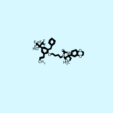 CC=Cc1cc(C(O)(C(F)(F)F)C(F)(F)F)cc(Cc2ccccc2)c1OCCCCN1C(=O)NC(CC)(c2ccc3c(c2)OCCO3)C1=O